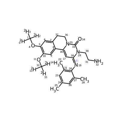 [2H]C([2H])([2H])Oc1cc2c(cc1OC([2H])([2H])[2H])-c1c/c(=N\c3c(C)cc(C)cc3C)n(CCN)c(=O)n1CC2